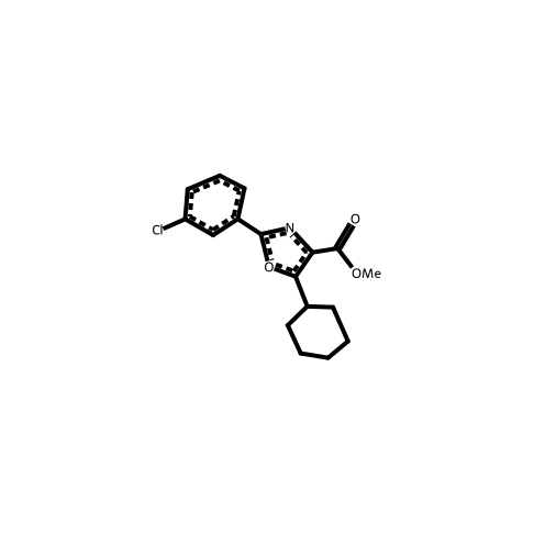 COC(=O)c1nc(-c2cccc(Cl)c2)oc1C1CCCCC1